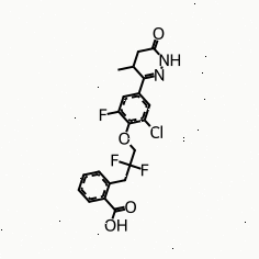 CC1CC(=O)NN=C1c1cc(F)c(OCC(F)(F)Cc2ccccc2C(=O)O)c(Cl)c1